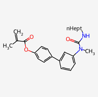 C=C(C)C(=O)Oc1ccc(-c2cccc(N(C)C(=O)NCCCCCCC)c2)cc1